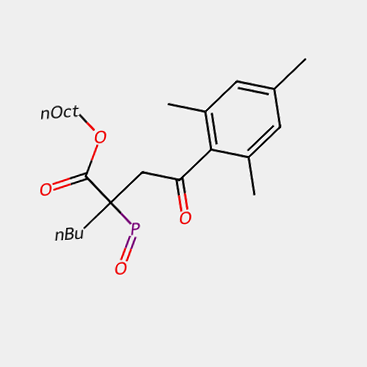 CCCCCCCCOC(=O)C(CCCC)(CC(=O)c1c(C)cc(C)cc1C)P=O